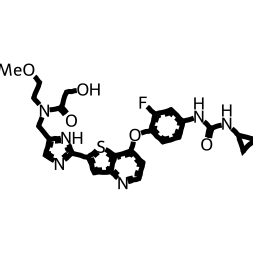 COCCN(Cc1cnc(-c2cc3nccc(Oc4ccc(NC(=O)NC5CC5)cc4F)c3s2)[nH]1)C(=O)CO